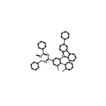 C=N/C(=N\C(=N/Cc1ccccc1)c1cc(C)c(-c2ccccc2C)c(-n2c3ccccc3c3cc(-c4ccccc4)ccc32)c1)c1ccccc1